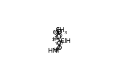 CS(=O)(=O)c1ccc(-c2ccc(OC3CNC3)cc2)c(F)c1.Cl